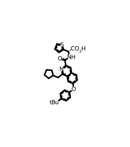 CC(C)(C)c1ccc(Oc2ccc3cc(C(=O)N[C@@H](C(=O)O)c4cccs4)nc(CC4CCCC4)c3c2)cc1